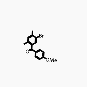 COc1ccc(C(=O)c2cc(Br)c(C)cc2C)cc1